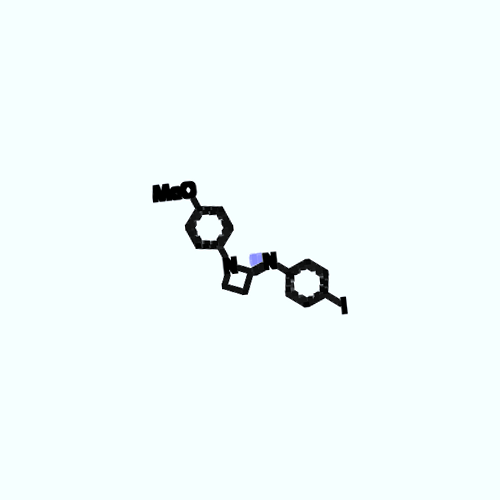 COc1ccc(N2CC/C2=N\c2ccc(I)cc2)cc1